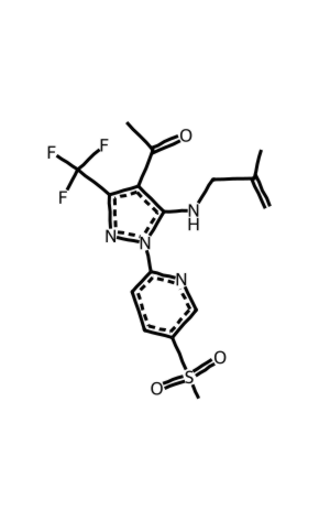 C=C(C)CNc1c(C(C)=O)c(C(F)(F)F)nn1-c1ccc(S(C)(=O)=O)cn1